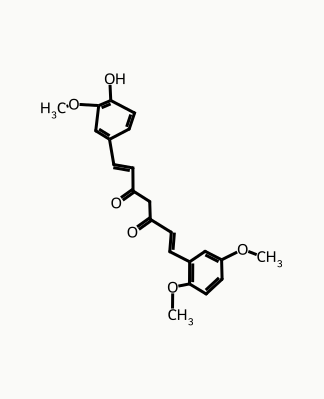 COc1ccc(OC)c(C=CC(=O)CC(=O)C=Cc2ccc(O)c(OC)c2)c1